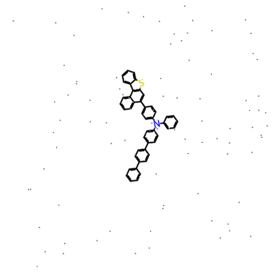 c1ccc(-c2ccc(-c3ccc(N(c4ccccc4)c4ccc(-c5cc6sc7ccccc7c6c6ccccc56)cc4)cc3)cc2)cc1